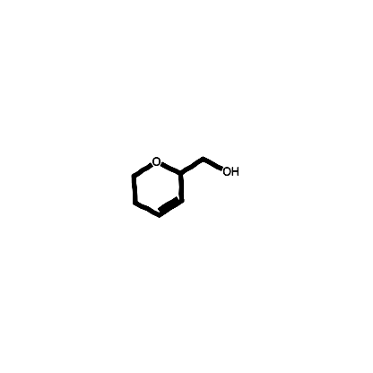 OCC1C=CCCO1